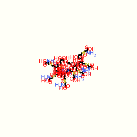 CCCCOC1OC(C[S+]([O-])CC(N)C(=O)O)C(OC2OC(C[S+]([O-])CC(N)C(=O)O)C(OC3OC(C[S+]([O-])CC(N)C(=O)O)C(OC4OC(C[S+]([O-])CC(N)C(=O)O)C(OC5OC(C[S+]([O-])CC(N)C(=O)O)C(OC6OC(C[S+]([O-])CC(N)C(=O)O)C(OC7OC(C[S+]([O-])CC(N)C(=O)O)C(OC8OC(C[S+]([O-])CC(N)C(=O)O)CC(O)C8O)C(O)C7O)C(O)C6O)C(O)C5O)C(O)C4O)C(O)C3O)C(O)C2O)C(O)C1O